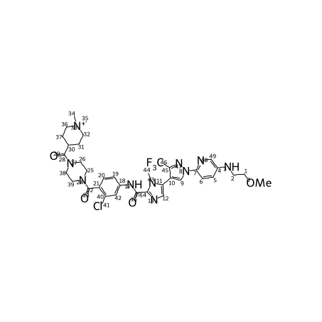 COCCNc1ccc(-n2cc(-c3cnc(C(=O)Nc4ccc(C(=O)N5CCN(C(=O)C6CC[N+](C)(C)CC6)CC5)c(Cl)c4)n3C)c(C(F)(F)F)n2)nc1